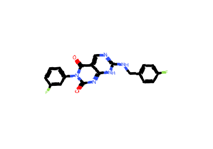 O=c1nc2[nH]c(NCc3ccc(F)cc3)ncc-2c(=O)n1-c1cccc(F)c1